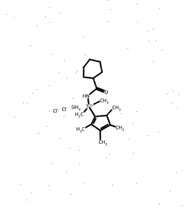 CC1=C(C)C(C)[C]([Ti+2]([CH3])([CH3])[NH]C(=O)C2CCCCC2)=C1C.[Cl-].[Cl-].[SiH4]